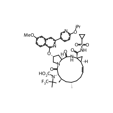 COc1ccc2c(O[C@@H]3C[C@H]4C(=O)N[C@]5(C(=O)NS(=O)(=O)C6CC6)C[C@H]5/C=C\CC[C@H](C)C[C@@H](C)[C@H](N(C(=O)O)C(C)(C)C(F)(F)F)C(=O)N4C3)nc(-c3ccc(OC(C)C)nc3)cc2c1